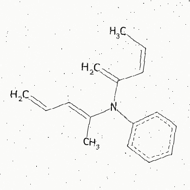 C=C/C=C(\C)N(C(=C)/C=C\C)c1ccccc1